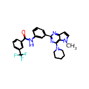 Cn1ccc2nc(-c3cccc(NC(=O)c4cccc(C(F)(F)F)c4)c3)nc(N3CCCCC3)c21